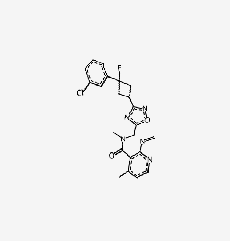 C=Nc1nccc(C)c1C(=O)N(C)Cc1nc(C2CC(F)(c3cccc(Cl)c3)C2)no1